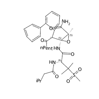 CCCCCC(=O)[C](c1ccccc1-c1ccccc1)[C@]1(NC(=O)[C@@H](NC(=O)CC(C)C)C(C)(C)S(C)(=O)=O)O[C@]1(C)C(N)=O